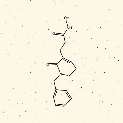 O=C(CCC1=CCCN(Cc2ccccc2)C1=O)NO